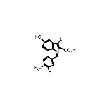 O=C(O)c1c(Cl)c2cc(O)ccc2n1Cc1ccc(C(F)(F)F)c(F)c1